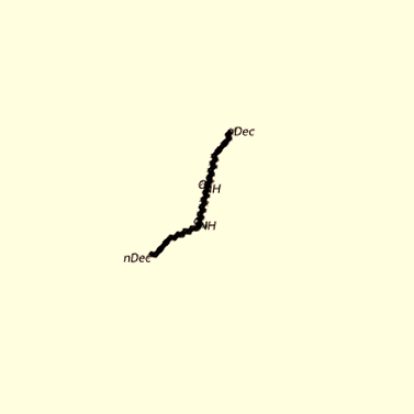 CCCCCCCCCCCCC#CC#CCCCCCCCCC(=N)OCCCCCCCCNC(=O)CCCCCCCCC#CC#CCCCCCCCCCCCC